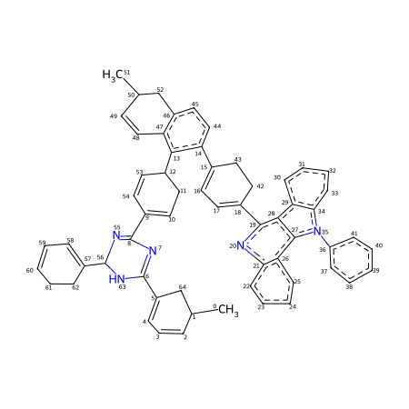 CC1C=CC=C(C2=NC(C3=CCC(c4c(C5=CC=C(c6nc7ccccc7c7c6c6ccccc6n7-c6ccccc6)CC5)ccc5c4C=CC(C)C5)C=C3)=NC(C3=CC=CCC3)N2)C1